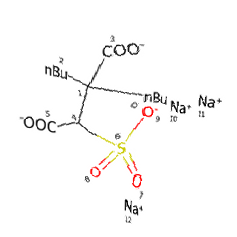 CCCCC(CCCC)(C(=O)[O-])C(C(=O)[O-])S(=O)(=O)[O-].[Na+].[Na+].[Na+]